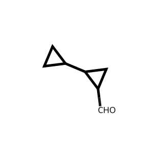 O=CC1CC1C1CC1